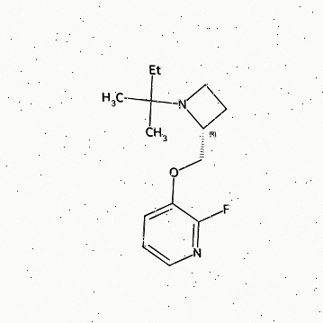 CCC(C)(C)N1CC[C@@H]1COc1cccnc1F